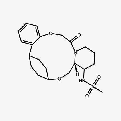 CS(=O)(=O)NC1CCCN2C(=O)COc3ccccc3C3CCC(CC3)OC[C@@H]12